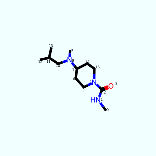 CNC(=O)N1CCC(N(C)CC(C)C)CC1